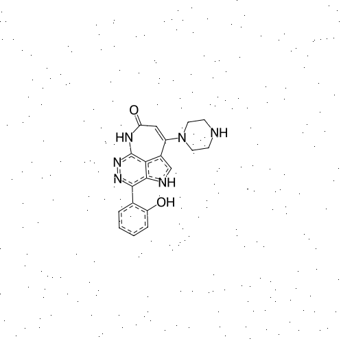 O=C1C=C(N2CCNCC2)c2c[nH]c3c(-c4ccccc4O)nnc(c23)N1